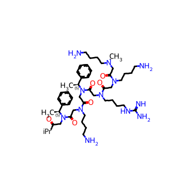 CC(C)C(=O)CN(C(=O)CN(CCCCN)C(=O)CN(C(=O)CN(CCCCNC(=N)N)C(=O)CN(CCCCN)C(=O)CN(C)CCCCN)[C@@H](C)c1ccccc1)[C@@H](C)c1ccccc1